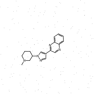 CN1CCCC(n2cc(-c3cnc4ccccc4n3)cn2)C1